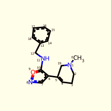 CN1CCC=C(c2cnoc2NCc2ccccc2)C1